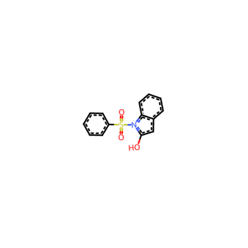 O=S(=O)(c1ccccc1)n1c(O)cc2ccccc21